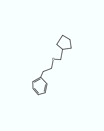 [c]1ccc(CCOCC2CCCC2)cc1